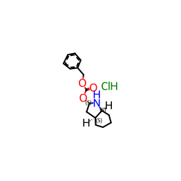 Cl.O=C(OCc1ccccc1)O[C@H]1C[C@@H]2CCCC[C@@H]2N1